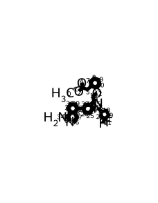 CCOC(=O)Cc1ccccc1OCc1nn(C2CCC(F)(F)C2)c2ccc(-c3cccc4c(N)nccc34)cc12